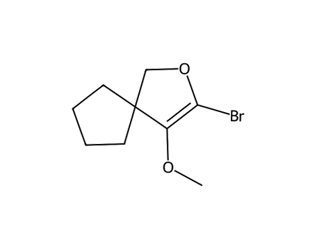 COC1=C(Br)OCC12CCCC2